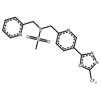 CS(=O)(=O)N(Cc1ccccn1)Cc1ccc(-c2nnc(C(F)(F)F)o2)cn1